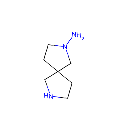 NN1CCC2(CCNC2)C1